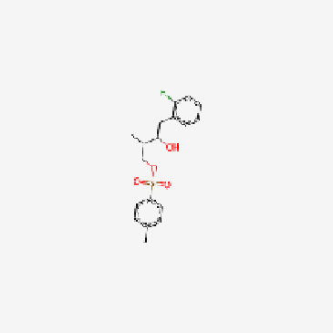 Cc1ccc(S(=O)(=O)OCC(C)C(O)Cc2ccccc2F)cc1